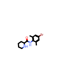 Cc1cc(Br)cc(C)c1NC(=O)C1CCCCN1